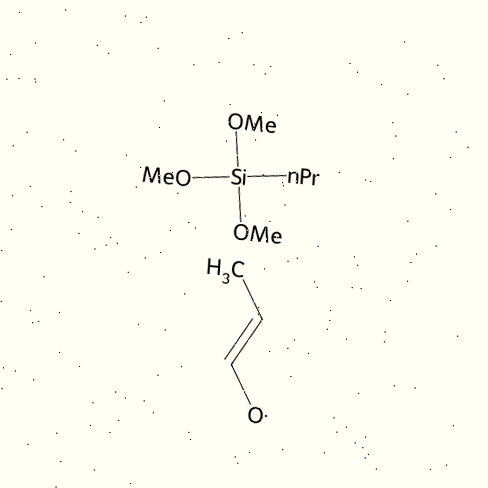 CC=C[O].CCC[Si](OC)(OC)OC